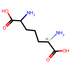 NC(CCC[C@H](N)C(=O)O)C(=O)O